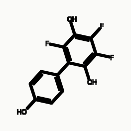 Oc1ccc(-c2c(O)c(F)c(F)c(O)c2F)cc1